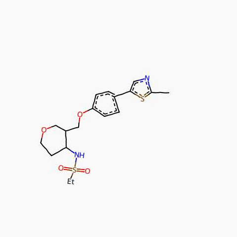 CCS(=O)(=O)NC1CCOCC1COc1ccc(-c2cnc(C)s2)cc1